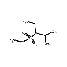 CCC(C(C)C)S(=O)(=O)ON